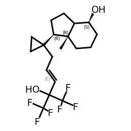 C[C@]12CCC[C@H](O)C1CC[C@@H]2C1(C/C=C/C(O)(C(F)(F)F)C(F)(F)F)CC1